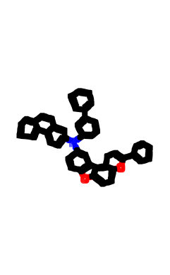 C1=C(c2ccccc2)Oc2ccc3oc4ccc(N(c5cccc(-c6ccccc6)c5)c5ccc6c(ccc7ccccc76)c5)cc4c3c2C1